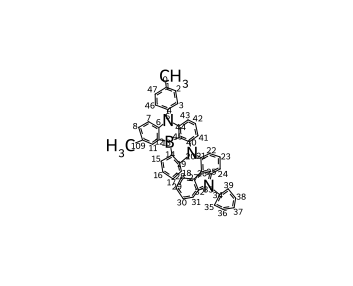 Cc1ccc(N2c3ccc(C)cc3B3c4ccccc4N(c4cccc5c4c4ccccc4n5-c4ccccc4)c4cccc2c43)cc1